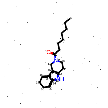 CCCCCCCC(=O)N1CCc2[nH]c3c(c2C1)=CCCC=3